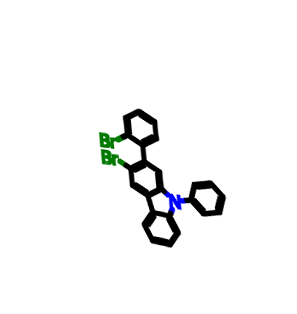 Brc1ccccc1-c1cc2c(cc1Br)c1ccccc1n2-c1ccccc1